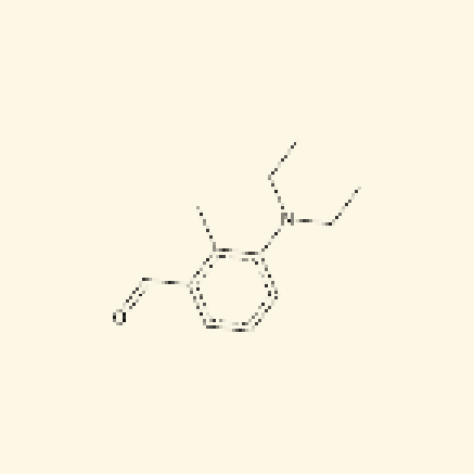 CCN(CC)c1cccc(C=O)c1C